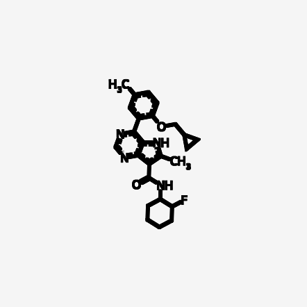 Cc1ccc(OCC2CC2)c(-c2ncnc3c(C(=O)NC4CCCCC4F)c(C)[nH]c23)c1